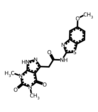 COc1ccc2sc(NC(=O)Cc3n[nH]c4c3c(=O)n(C)c(=O)n4C)nc2c1